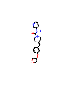 O=C(Nc1cccnc1)N1CCC(=Cc2cccc(OC3CCOC3)c2)CC1